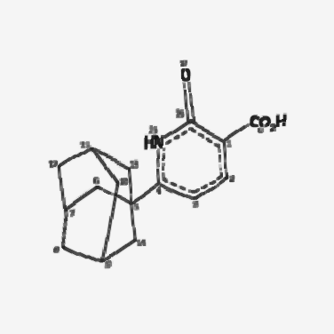 O=C(O)c1ccc(C23CC4CC(CC(C4)C2)C3)[nH]c1=O